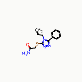 C=CCn1c(SCC(N)=O)nnc1-c1ccccc1